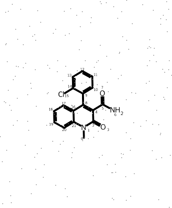 Cn1c(=O)c(C(N)=O)c(-c2ccccc2Cl)c2ccccc21